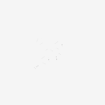 N#Cc1ccc(C(C(=O)NC2CCCC2)N(C(=O)Cc2cccs2)c2cccc(F)c2)cc1